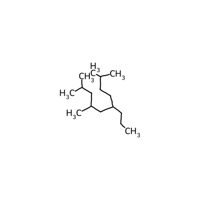 CCCC(CCC(C)C)CC(C)CC(C)C